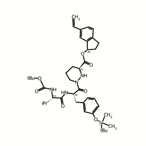 C=Cc1ccc2c(c1)[C@H](OC(=O)[C@@H]1CCCN(C(=O)[C@H](Cc3cccc(O[Si](C)(C)C(C)(C)C)c3)NC(=O)[C@@H](NC(=O)OC(C)(C)C)C(C)C)N1)CC2